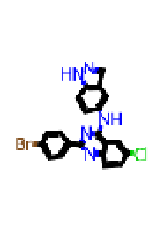 Clc1ccc2nc(-c3ccc(Br)cc3)nc(Nc3ccc4[nH]ncc4c3)c2c1